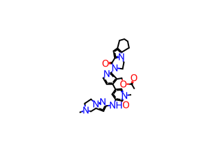 CC(=O)OCc1c(-c2cc(Nc3cc4n(n3)CCN(C)C4)c(=O)n(C)c2)ccnc1N1CCn2c(cc3c2CCCC3)C1=O